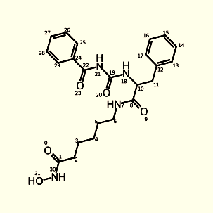 O=C(CCCCCNC(=O)C(Cc1ccccc1)NC(=O)NC(=O)c1ccccc1)NO